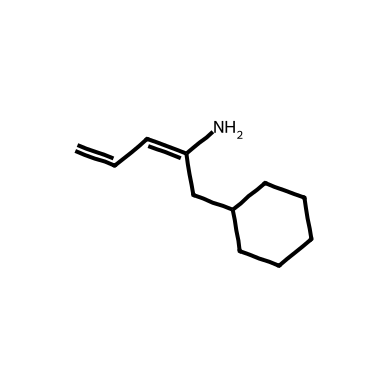 C=C/C=C(/N)CC1CCCCC1